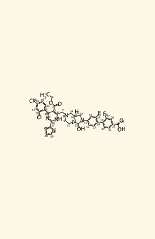 CCOC(=O)C1=C(CN2CCN3C(O)N(c4ccc(-c5ccc(C(=O)O)cc5F)c(F)c4)C[C@@H]3C2)NC(c2nccs2)=N[C@H]1c1ccc(Cl)cc1Cl